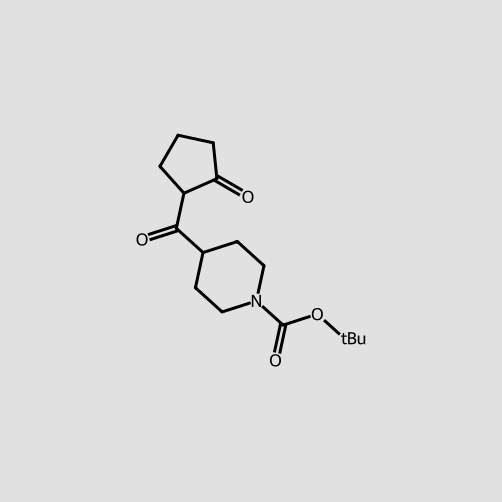 CC(C)(C)OC(=O)N1CCC(C(=O)C2CCCC2=O)CC1